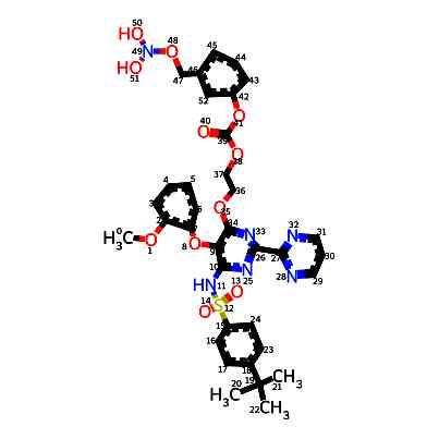 COc1ccccc1Oc1c(NS(=O)(=O)c2ccc(C(C)(C)C)cc2)nc(-c2ncccn2)nc1OCCOC(=O)Oc1cccc(CON(O)O)c1